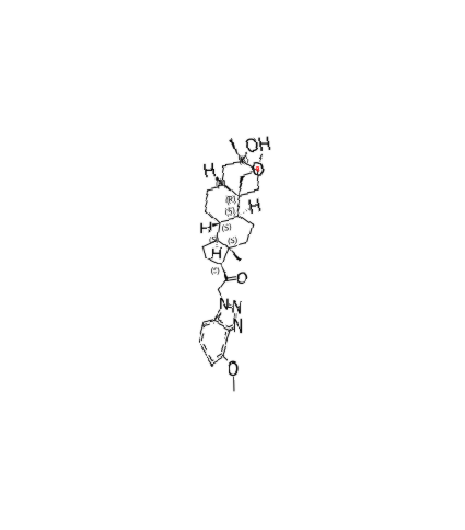 COC[C@]12CC[C@@](C)(O)C[C@H]1CC[C@H]1[C@@H]3CC[C@H](C(=O)Cn4nnc5c(OC)cccc54)[C@@]3(C)CC[C@@H]12